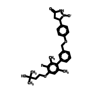 Cc1cc(OCCC(C)(C)O)c(F)c(C)c1-c1cccc(COc2ccc(C3CC(=O)N[S+]3[O-])cc2)c1